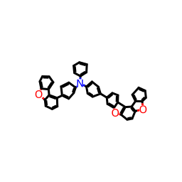 c1ccc(N(c2ccc(-c3ccc4c(c3)oc3ccc5oc6ccccc6c5c34)cc2)c2ccc(-c3cccc4oc5ccccc5c34)cc2)cc1